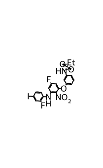 CCS(=O)(=O)Nc1cccc(Oc2cc(F)cc(Nc3ccc(I)cc3F)c2[N+](=O)[O-])c1